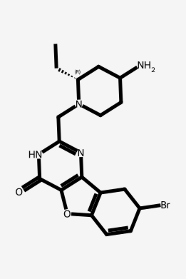 CC[C@@H]1CC(N)CCN1Cc1nc2c3c(oc2c(=O)[nH]1)C=CC(Br)C3